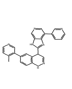 Cc1ccncc1-c1ccc2c(c1)C(c1nc3c(-c4cccnc4)cncc3[nH]1)C=NN2